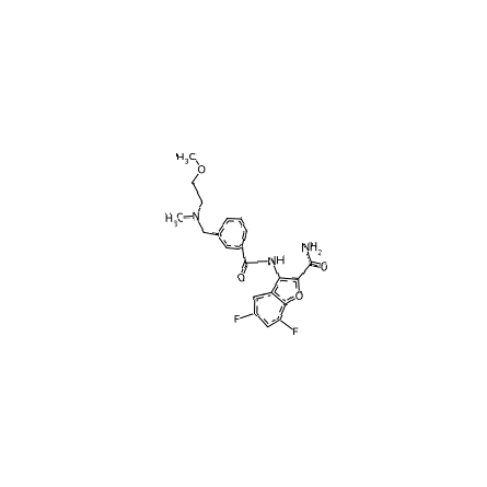 COCCN(C)Cc1cccc(C(=O)Nc2c(C(N)=O)oc3c(F)cc(F)cc23)c1